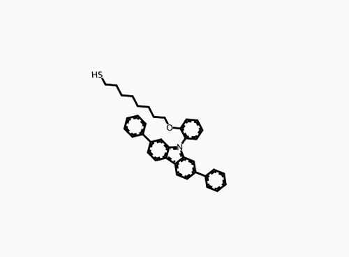 SCCCCCCCCOc1ccccc1-n1c2cc(-c3ccccc3)ccc2c2ccc(-c3ccccc3)cc21